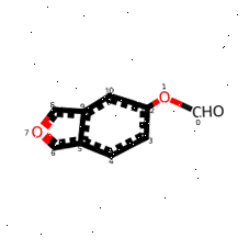 O=COc1ccc2cocc2c1